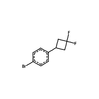 FC1(F)CC(c2ccc(Br)cc2)C1